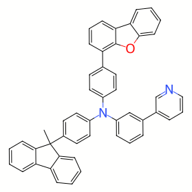 CC1(c2ccc(N(c3ccc(-c4cccc5c4oc4ccccc45)cc3)c3cccc(-c4cccnc4)c3)cc2)c2ccccc2-c2ccccc21